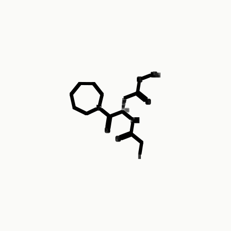 CC(C)(C)OC(=O)C[C@H](NC(=O)CI)C(=O)N1CCCCCC1